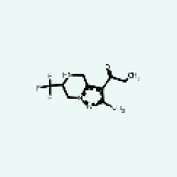 CCC(=O)c1c(C)nn2c1CNC(C(F)(F)F)C2